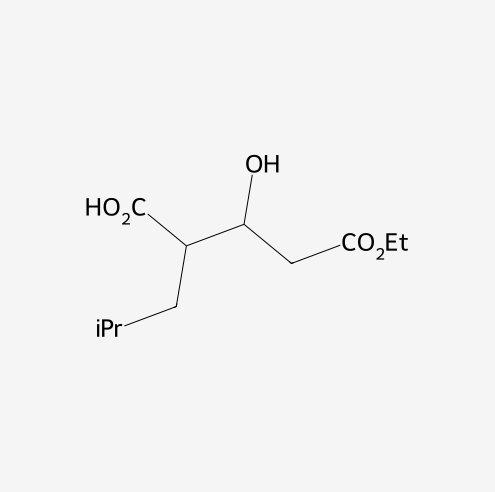 CCOC(=O)CC(O)C(CC(C)C)C(=O)O